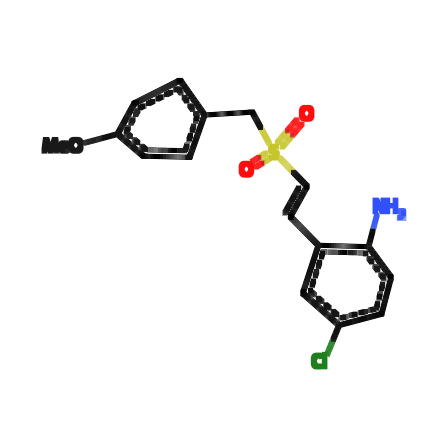 COc1ccc(CS(=O)(=O)C=Cc2cc(Cl)ccc2N)cc1